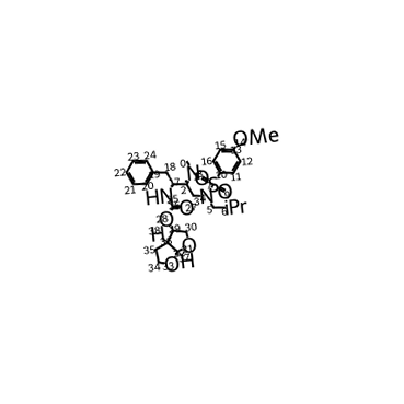 C/N=C(/CN(CC(C)C)S(=O)(=O)c1ccc(OC)cc1)[C@H](Cc1ccccc1)NC(=O)O[C@H]1CO[C@H]2OCC[C@H]21